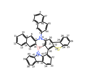 c1ccc2cc(N3c4cc5ccccc5cc4B4c5c3cc3c(sc6ccccc63)c5-c3cccc5c6ccccc6n4c35)ccc2c1